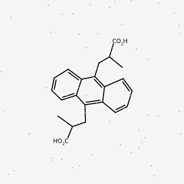 CC(Cc1c2ccccc2c(CC(C)C(=O)O)c2ccccc12)C(=O)O